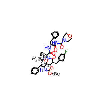 CC(C)C(NC(=O)C(Cc1ccc(F)cc1)CC(O[Si](C)(C)C(C)(C)C)C(Cc1ccccc1)NC(=O)OC(C)(C)C)C(=O)NC(Cc1ccccc1)C(=O)NC(=O)N1CCOCC1